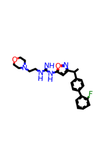 CC(c1ccc(-c2ccccc2F)cc1)c1cc(NC(=N)NCCN2CCOCC2)on1